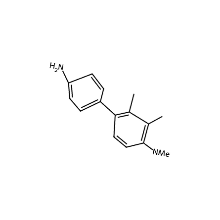 CNc1ccc(-c2ccc(N)cc2)c(C)c1C